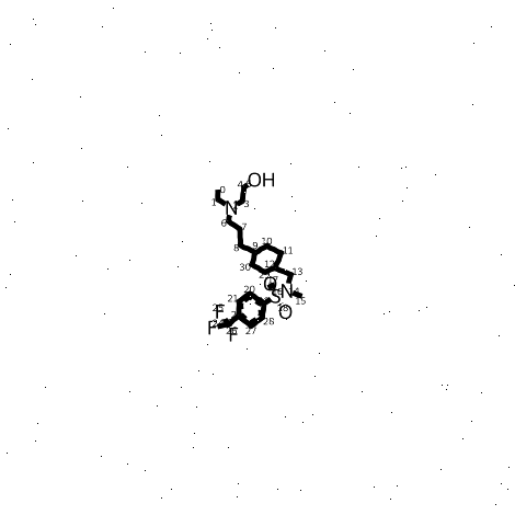 CCN(CCO)CCCC1CCC(CN(C)S(=O)(=O)c2ccc(C(F)(F)F)cc2)CC1